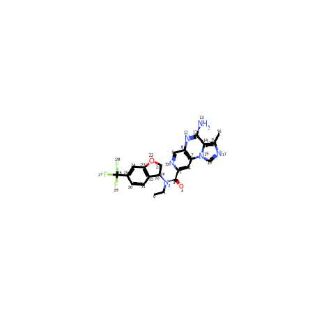 CCN(C(=O)c1cc2c(cn1)nc(N)c1c(C)ncn12)[C@@H]1COc2cc(C(F)(F)F)ccc21